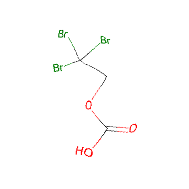 O=C(O)OCC(Br)(Br)Br